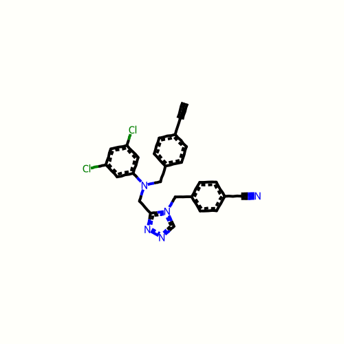 C#Cc1ccc(CN(Cc2nncn2Cc2ccc(C#N)cc2)c2cc(Cl)cc(Cl)c2)cc1